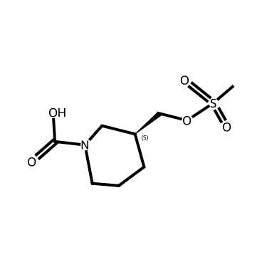 CS(=O)(=O)OC[C@H]1CCCN(C(=O)O)C1